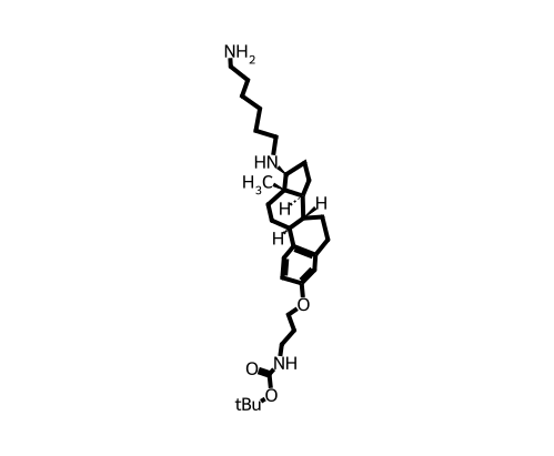 CC(C)(C)OC(=O)NCCCOc1ccc2c(c1)CC[C@@H]1[C@@H]2CC[C@]2(C)[C@@H](NCCCCCCN)CC[C@@H]12